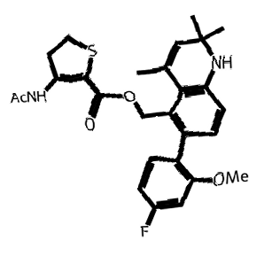 COc1cc(F)ccc1-c1ccc2c(c1COC(=O)C1=C(NC(C)=O)CCS1)C(C)=CC(C)(C)N2